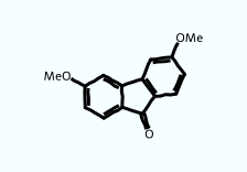 COc1ccc2c(c1)-c1cc(OC)ccc1C2=O